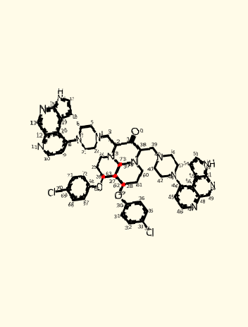 O=C(C(CN1CCN(c2ccnc3cnc4[nH]ccc4c23)CC1)N1CCCC(COc2ccc(Cl)cc2)C1)C(CN1CCN(c2ccnc3cnc4[nH]ccc4c23)CC1)N1CCCC(COc2ccc(Cl)cc2)C1